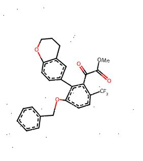 COC(=O)C(=O)c1c(C(F)(F)F)ccc(OCc2ccccc2)c1-c1ccc2c(c1)CCCO2